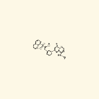 O=S(=O)(c1cccc2cccnc12)N(Cc1cccc(-c2cc(F)c3ncnc(NC4CC4)c3c2)c1)C1CC1